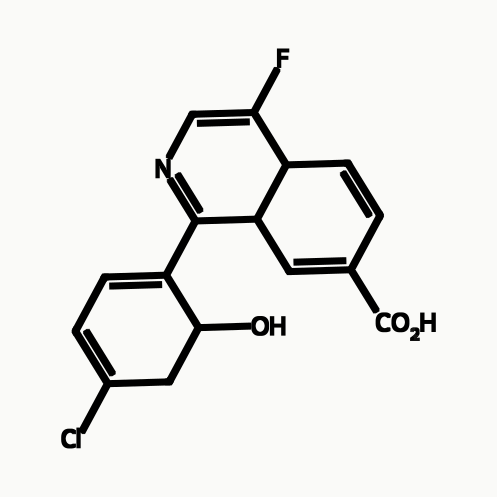 O=C(O)C1=CC2C(C3=CC=C(Cl)CC3O)=NC=C(F)C2C=C1